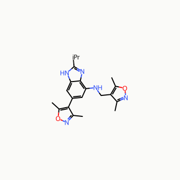 Cc1noc(C)c1CNc1cc(-c2c(C)noc2C)cc2[nH]c(C(C)C)nc12